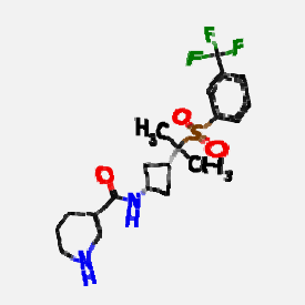 CC(C)([C@H]1C[C@@H](NC(=O)C2CCCNC2)C1)S(=O)(=O)c1cccc(C(F)(F)F)c1